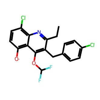 CCc1nc2c(Cl)ccc([O])c2c(OC(F)F)c1Cc1ccc(Cl)cc1